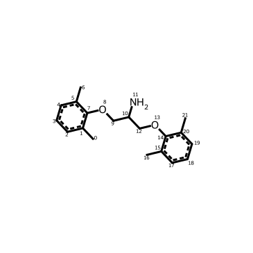 Cc1cccc(C)c1OCC(N)COc1c(C)cccc1C